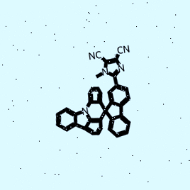 Cn1c(-c2ccc3c(c2)C2(c4ccccc4-3)c3ccccc3-n3c4ccccc4c4cccc2c43)nc(C#N)c1C#N